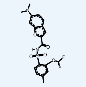 Cc1ccc(S(=O)(=O)NC(=O)c2cc3ccc(N(C)C)cc3o2)c(OC(F)F)c1